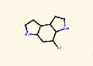 CCC1CC2NCCC2C2CCNC12